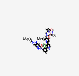 COCCNCc1ccc(C(=O)Nc2cccc(-c3nccc(-c4ccc(CN(C[C@@H]5CCC(=O)N5)C(=O)OC(C)(C)C)c(OC)n4)c3Cl)c2Cl)nc1